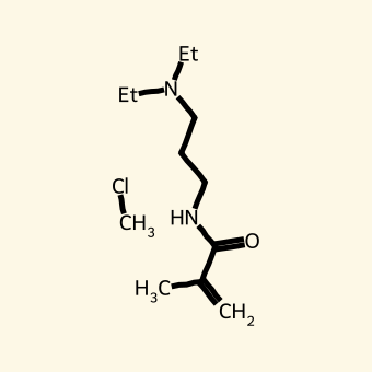 C=C(C)C(=O)NCCCN(CC)CC.CCl